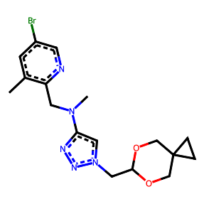 Cc1cc(Br)cnc1CN(C)c1cn(CC2OCC3(CC3)CO2)nn1